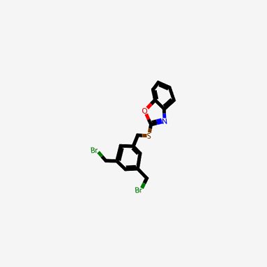 BrCc1cc(CBr)cc(CSc2nc3ccccc3o2)c1